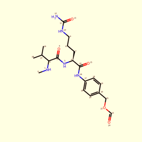 CNC(C(=O)N[C@@H](CCCNC(N)=O)C(=O)Nc1ccc(COC=O)cc1)C(C)C